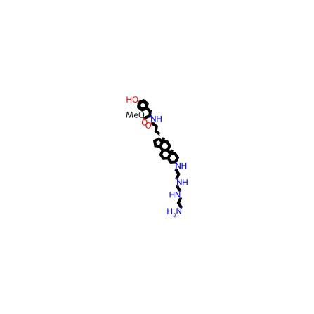 COC(=O)C(Cc1ccc(O)cc1)NC(=O)CCC[C@H]1CCC2C3CCC4CC(NCCCNCCNCCCN)CCC4(C)C3CCC21C